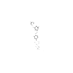 CC(C)S(=O)(=O)N1CCN(c2ccc(C=Cc3cc(Cl)cc(Cn4ccnc4)c3)cc2)CC1